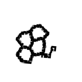 CCCCCl.c1cc2ccc3cccc4ccc(c1)c2c34